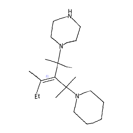 CC/C(C)=C(\C(C)(C)N1CCCCC1)C(C)(C)N1CCNCC1